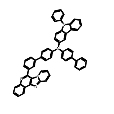 c1ccc(-c2ccc(N(c3ccc(-c4cccc(-c5nc6ccccc6c6nc7ccccn7c56)c4)cc3)c3ccc4c(c3)c3ccccc3n4-c3ccccc3)cc2)cc1